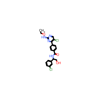 CCONc1ncc(Cl)c(-c2ccc(C(=O)NC(CO)c3cccc(Cl)c3)cc2)n1